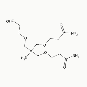 NC(=O)CCOCC(N)(COCCC=O)COCCC(N)=O